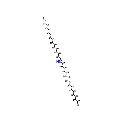 CCCCCCCCCCCCCCCCCCNCCCCCCCCCCCCCCCCCC